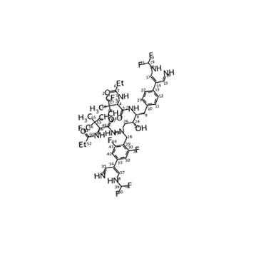 CCC(=O)NC(C(=O)N[C@@H](Cc1ccc(/C(C=N)=C/NC(F)F)cc1)[C@@H](O)CN(Cc1c(F)cc(/C(C=N)=C/NC(F)F)cc1F)NC(=O)[C@@H](NC(=O)CC)C(C)(C)C(F)(F)F)C(C)(C)C(F)(F)F